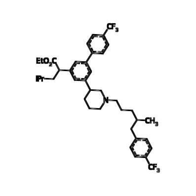 CCOC(=O)C(CC(C)C)c1cc(-c2ccc(C(F)(F)F)cc2)cc(C2CCCN(CCCC(C)Cc3ccc(C(F)(F)F)cc3)C2)c1